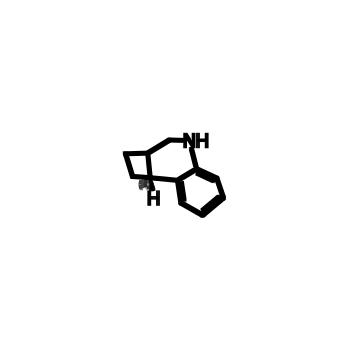 c1ccc2c(c1)NCC1CC[C@@H]21